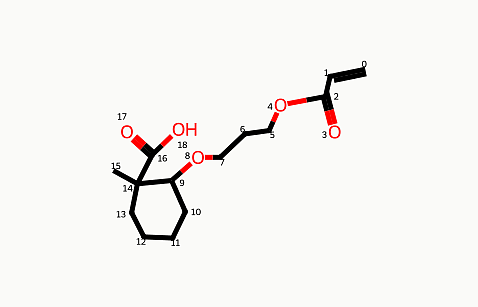 C=CC(=O)OCCCOC1CCCCC1(C)C(=O)O